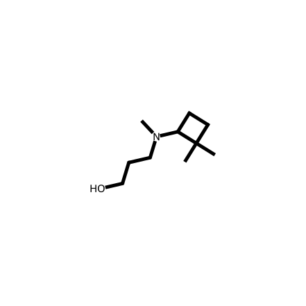 CN(CCCO)C1CCC1(C)C